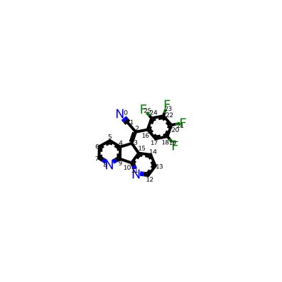 N#CC(=C1c2cccnc2-c2ncccc21)c1cc(F)c(F)c(F)c1F